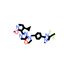 COc1nccc(C2CC2)c1-c1ncc2c(n1)N(Cc1ccc(-c3nc(C(C)(F)F)cn3C)cc1)CCO2